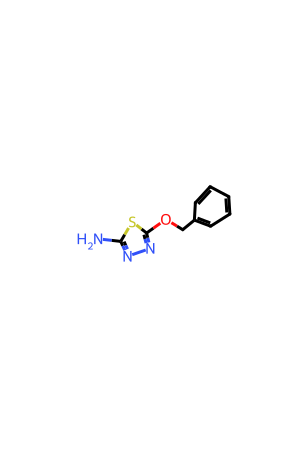 Nc1nnc(OCc2ccccc2)s1